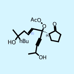 CCCCC(C)(O)C/C=C/C(C#CC(C)O)(OOC(C)=O)[C@H]1CCCC1=O